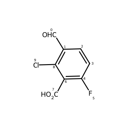 O=Cc1ccc(F)c(C(=O)O)c1Cl